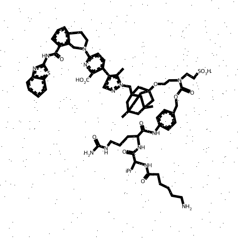 Cc1c(-c2ccc(N3CCc4cccc(C(=O)Nc5nc6ccccc6s5)c4C3)nc2C(=O)O)cnn1CC12CC3(C)CC(C)(C1)CC(OCCN(CCS(=O)(=O)O)C(=O)OCc1ccc(NC(=O)C(CCCNC(N)=O)NC(=O)C(NC(=O)CCCCCN)C(C)C)cc1)(C3)C2